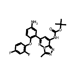 Cc1nnc2c(NC(=O)OC(C)(C)C)cc(-c3cc(N)ccc3Oc3ccc(F)cc3F)nn12